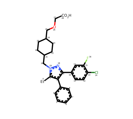 CCc1c(-c2ccccc2)c(-c2ccc(Cl)c(F)c2)nn1CC1CCC(COCC(=O)O)CC1